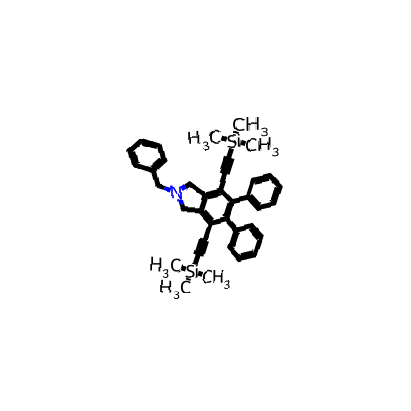 C[Si](C)(C)C#Cc1c2c(c(C#C[Si](C)(C)C)c(-c3ccccc3)c1-c1ccccc1)CN(Cc1ccccc1)C2